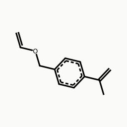 C=COCc1ccc(C(=C)C)cc1